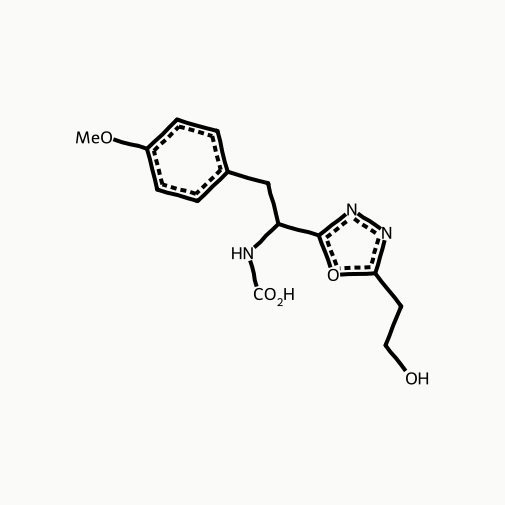 COc1ccc(CC(NC(=O)O)c2nnc(CCO)o2)cc1